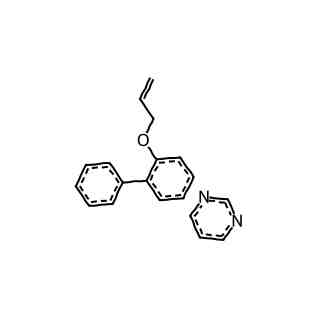 C=CCOc1ccccc1-c1ccccc1.c1cncnc1